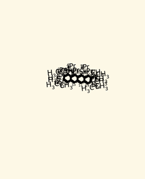 CC(C)[Si](c1c([Si](C)(C)C)c([Si](C)(C)C)cc2cc3cc4cc([Si](C)(C)C)c([Si](C)(C)C)cc4c([Si](C(C)C)(C(C)C)C(C)C)c3cc12)(C(C)C)C(C)C